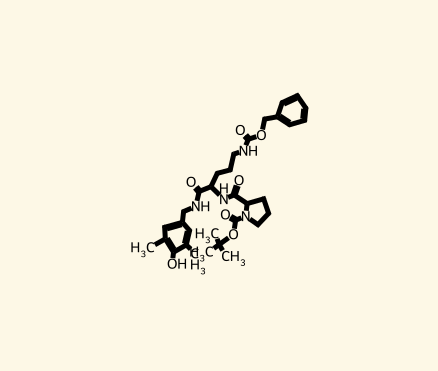 Cc1cc(CNC(=O)C(CCCNC(=O)OCc2ccccc2)NC(=O)C2CCCN2C(=O)OC(C)(C)C)cc(C)c1O